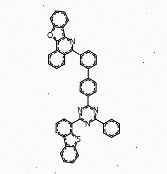 c1ccc(-c2nc(-c3ccc(-c4cccc(-c5nc6c7ccccc7oc6c6ccccc56)c4)cc3)nc(-c3cccc4c3sc3ccccc34)n2)cc1